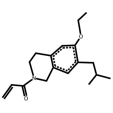 C=CC(=O)N1CCc2cc(OCC)c(CC(C)C)cc2C1